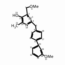 COCc1nc(Cc2ccc(-c3cccc(OC)c3)cc2)nc(C)c1O